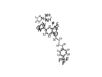 N=C(N)N1CCC[C@H]1c1nc(-c2ccc(OCCCCc3ccc(C(F)(F)F)cc3)c(C(F)(F)F)c2)no1